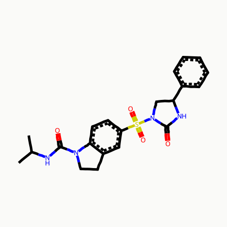 CC(C)NC(=O)N1CCc2cc(S(=O)(=O)N3CC(c4ccccc4)NC3=O)ccc21